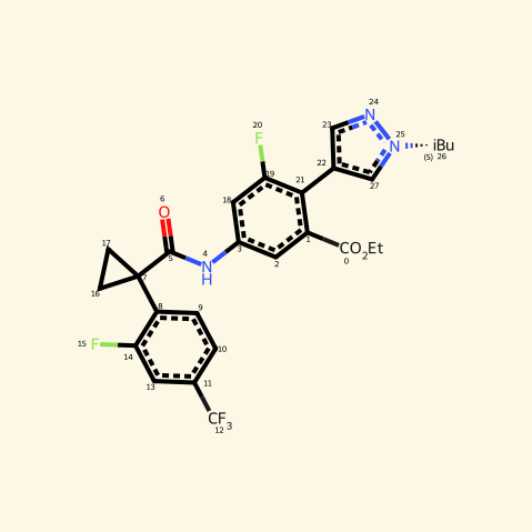 CCOC(=O)c1cc(NC(=O)C2(c3ccc(C(F)(F)F)cc3F)CC2)cc(F)c1-c1cnn([C@@H](C)CC)c1